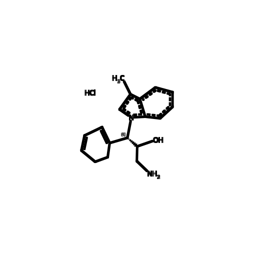 Cc1cn([C@@H](C2=CC=CCC2)C(O)CN)c2ccccc12.Cl